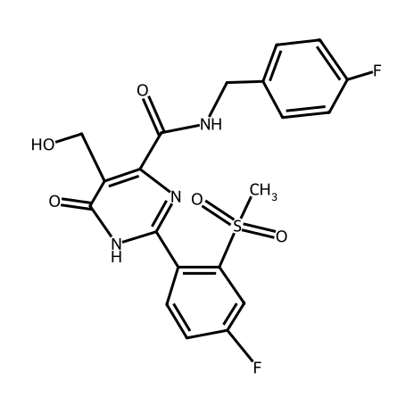 CS(=O)(=O)c1cc(F)ccc1-c1nc(C(=O)NCc2ccc(F)cc2)c(CO)c(=O)[nH]1